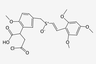 COc1cc(OC)c(C=C[S+]([O-])Cc2ccc(OC)c(C(CC(=O)Cl)C(=O)O)c2)c(OC)c1